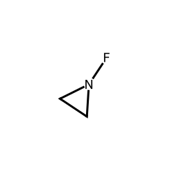 FN1CC1